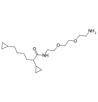 NCCOCCOCCNC(=O)C(CCCCC1CC1)C1CC1